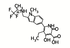 CCc1c(-c2ccc3c(c2)cc(CN[C@H](C)C(F)(F)F)n3C)[nH]c(=O)c(C(=O)O)c1O